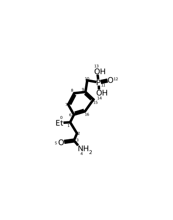 CCC(CC(N)=O)c1ccc(CP(=O)(O)O)cc1